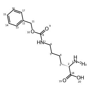 [2H]N[C@@H](CCCCNC(=O)OCc1ccccc1)C(=O)O